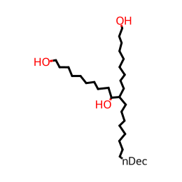 CCCCCCCCCCCCCCCCCCC(CCCCCCCCCO)C(O)CCCCCCCCCO